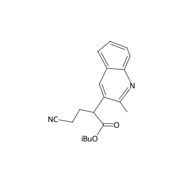 Cc1nc2ccccc2cc1C(CCC#N)C(=O)OCC(C)C